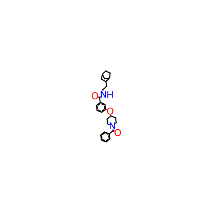 O=C(NCCC1CC2CCC1C2)c1cccc(OC2CCN(C(=O)c3ccccc3)CC2)c1